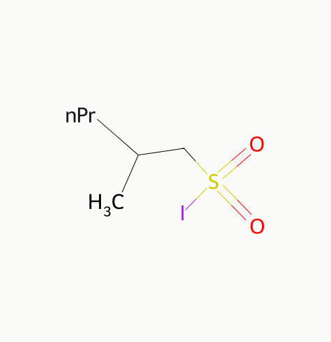 CCCC(C)CS(=O)(=O)I